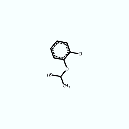 CC(S)Oc1ccccc1Cl